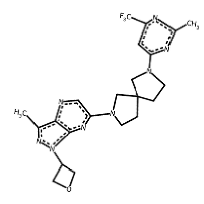 Cc1nc(N2CCC3(CCN(c4cnc5c(C)nn(C6COC6)c5n4)C3)C2)cc(C(F)(F)F)n1